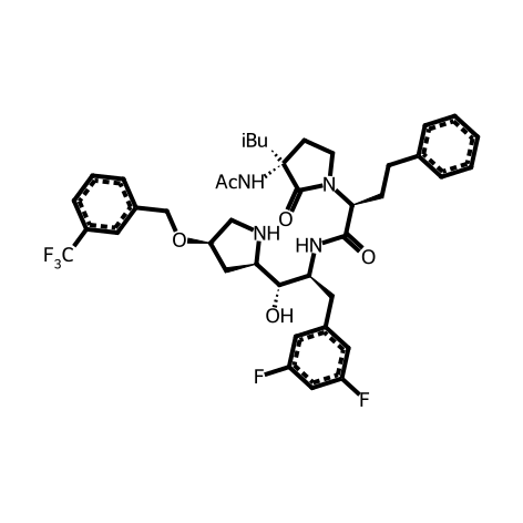 CC[C@@H](C)[C@@]1(NC(C)=O)CCN([C@@H](CCc2ccccc2)C(=O)N[C@@H](Cc2cc(F)cc(F)c2)[C@H](O)[C@H]2C[C@@H](OCc3cccc(C(F)(F)F)c3)CN2)C1=O